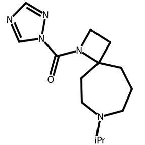 CC(C)N1CCCC2(CC1)CCN2C(=O)n1cncn1